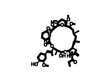 C=C(C[C@@H]1/C=C(\C)C[C@H](C)C[C@H](OC)[C@H]2O[C@@](O)(C(=O)C(=O)N3CCCC[C@H]3C(=O)O[C@H](/C(C)=C/[C@@H]3CC[C@@H](O)[C@H](OC)C3)[C@H](C)[C@@H](O)CC1=N)[C@H](C)C[C@@H]2OC)NC(=O)CC